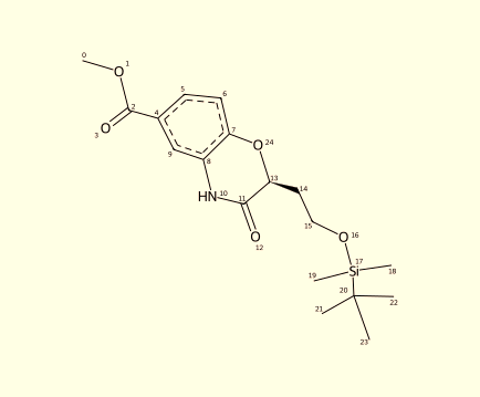 COC(=O)c1ccc2c(c1)NC(=O)[C@H](CCO[Si](C)(C)C(C)(C)C)O2